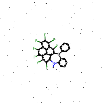 CN1c2ccccc2B(c2ccccc2)c2c(F)c3c(F)c(F)c(F)c4c(F)c(F)c5c(F)c(F)c1c2c5c43